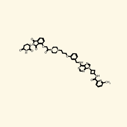 Cc1cccc(C(=O)NC2CC(n3cnc4c(NCc5cccc(OCCCN6CCN(C(=O)COc7cccc8c7C(=O)N([C@H]7CCC(=O)NC7=O)C8=O)CC6)c5)ncnc43)C2)n1